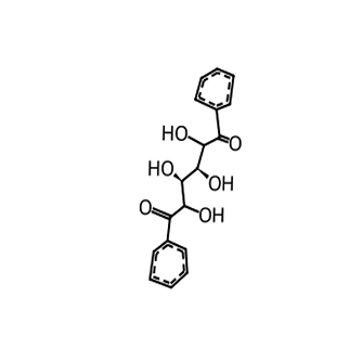 O=C(c1ccccc1)C(O)[C@@H](O)[C@H](O)C(O)C(=O)c1ccccc1